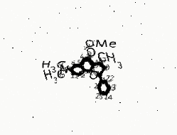 COCOc1cc2cc(N(C)C)ccc2cc1/C(C)=C\C(=O)c1ccccc1